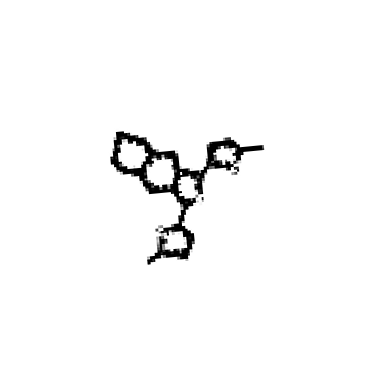 Cc1ccc(-c2sc(-c3ccc(C)s3)c3cc4ccccc4cc23)s1